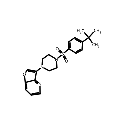 CC(C)(C)c1ccc(S(=O)(=O)N2CCN(c3coc4cccnc34)CC2)cc1